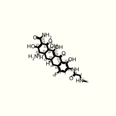 CNCC(=O)Nc1cc(F)c2c(c1O)C(=O)C1=C(O)[C@]3(O)C(=O)C(C(N)=O)=C(O)[C@@H](N)[C@@H]3C[C@@H]1C2